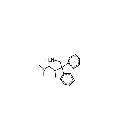 CC(CN(C)C)C(CN)(c1ccccc1)c1ccccc1